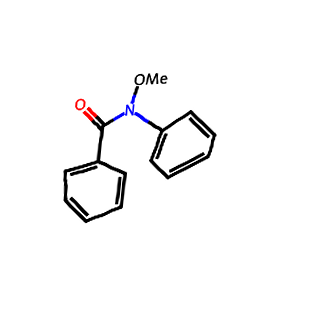 CON(C(=O)c1ccccc1)c1ccccc1